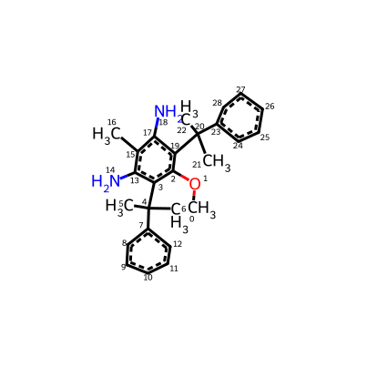 COc1c(C(C)(C)c2ccccc2)c(N)c(C)c(N)c1C(C)(C)c1ccccc1